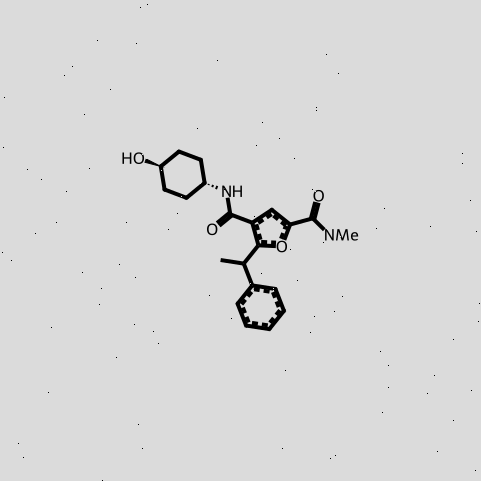 CNC(=O)c1cc(C(=O)N[C@H]2CC[C@H](O)CC2)c(C(C)c2ccccc2)o1